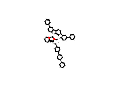 c1ccc(-c2ccc(-c3ccc(-c4nc(-c5ccccc5)nc(-n5c6ccc(-c7ccccc7)cc6c6ccc7c8cc(-c9ccccc9)ccc8n(-c8ccccc8)c7c65)n4)cc3)cc2)cc1